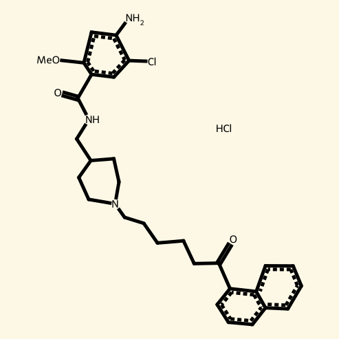 COc1cc(N)c(Cl)cc1C(=O)NCC1CCN(CCCCCC(=O)c2cccc3ccccc23)CC1.Cl